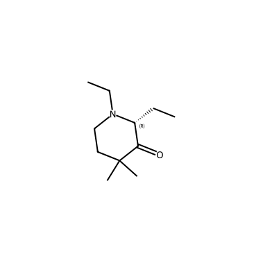 CC[C@@H]1C(=O)C(C)(C)CCN1CC